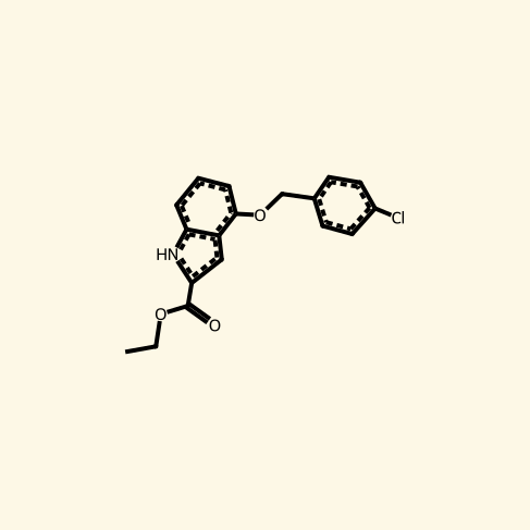 CCOC(=O)c1cc2c(OCc3ccc(Cl)cc3)cccc2[nH]1